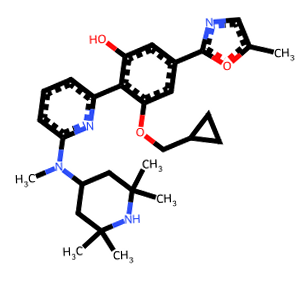 Cc1cnc(-c2cc(O)c(-c3cccc(N(C)C4CC(C)(C)NC(C)(C)C4)n3)c(OCC3CC3)c2)o1